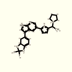 CC(c1ccc(-c2cnc3[nH]cc(C4=CC=C5OC(F)(F)OC5C4)c3c2)s1)N1CCCC1